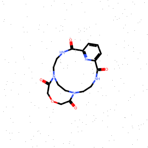 O=C1NCCN2CCN(CCNC(=O)c3cccc1n3)C(=O)COCC2=O